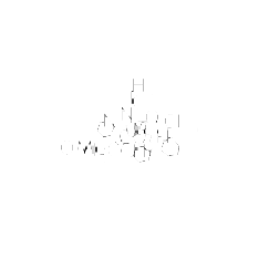 COc1ccnc(C(=O)NC(C)C(=O)O[C@@H](C)[C@H](Sc2ccccc2)c2ccccc2)c1C(C)(C)C(=O)O